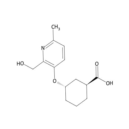 Cc1ccc(O[C@H]2CCC[C@H](C(=O)O)C2)c(CO)n1